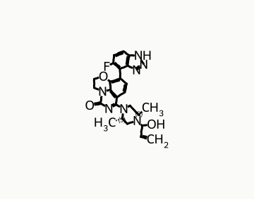 C=CC(O)N1C[C@H](C)N(c2nc(=O)n3c4c(c(-c5c(F)ccc6[nH]nnc56)ccc24)OCC3)C[C@H]1C